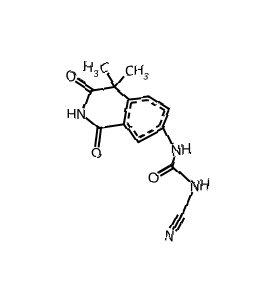 CC1(C)C(=O)NC(=O)c2cc(NC(=O)NC#N)ccc21